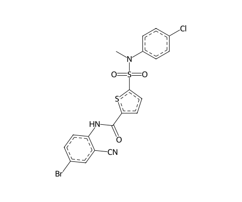 CN(c1ccc(Cl)cc1)S(=O)(=O)c1ccc(C(=O)Nc2ccc(Br)cc2C#N)s1